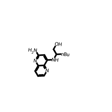 CCCCC(CO)Nc1cc(N)nc2cccnc12